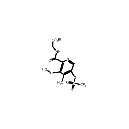 CCOC(=O)CNC(=O)c1ncc(OS(=O)(=O)C(F)(F)F)c(C)c1OO